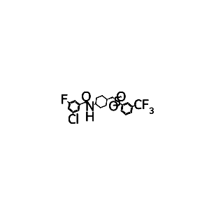 O=C(N[C@H]1CC[C@H](CS(=O)(=O)c2cccc(C(F)(F)F)c2)CC1)c1cc(F)cc(Cl)c1